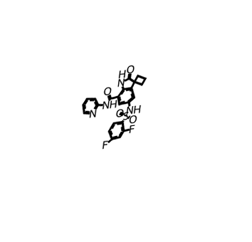 O=C(Nc1ccccn1)c1cc(NS(=O)(=O)c2ccc(F)cc2F)cc2c1NC(=O)C21CCC1